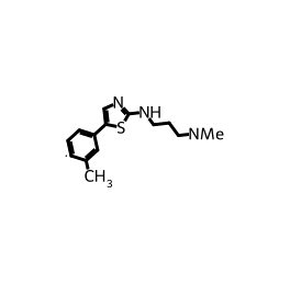 CNCCCNc1ncc(-c2cc[c]c(C)c2)s1